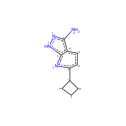 Nc1n[nH]c2nc(C3CCC3)ccc12